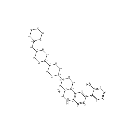 Oc1ccccc1-c1cc2c(nn1)NC[C@H]1CN(C3CCC(N4CCC(CN5CCCCC5)CC4)CC3)CCN21